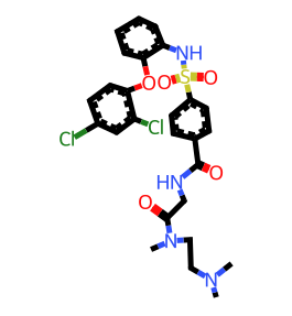 CN(C)CCN(C)C(=O)CNC(=O)c1ccc(S(=O)(=O)Nc2ccccc2Oc2ccc(Cl)cc2Cl)cc1